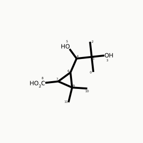 CC(C)(O)C(O)C1C(C(=O)O)C1(C)C